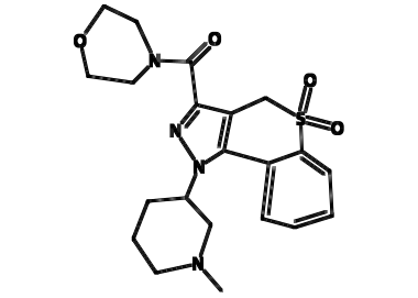 CN1CCCC(n2nc(C(=O)N3CCOCC3)c3c2-c2ccccc2S(=O)(=O)C3)C1